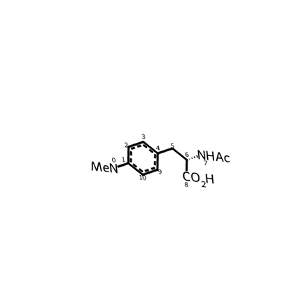 CNc1ccc(C[C@H](NC(C)=O)C(=O)O)cc1